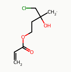 [CH2]C(O)(CCl)CCOC(=O)C=C